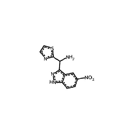 NC(c1nccs1)c1n[nH]c2ccc([N+](=O)[O-])cc12